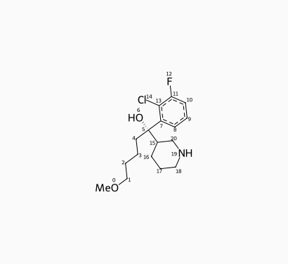 COCCCC[C@@](O)(c1cccc(F)c1Cl)C1CCCNC1